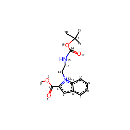 COC(=O)c1cc2ccccc2n1CCNC(=O)OC(C)(C)C